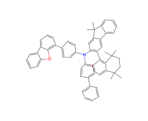 CC1(C)CCC(C)(C)c2c(-c3cc4c(cc3N(c3ccc(-c5ccccc5)cc3)c3ccc(-c5cccc6c5oc5ccccc56)cc3)C(C)(C)c3ccccc3-4)cccc21